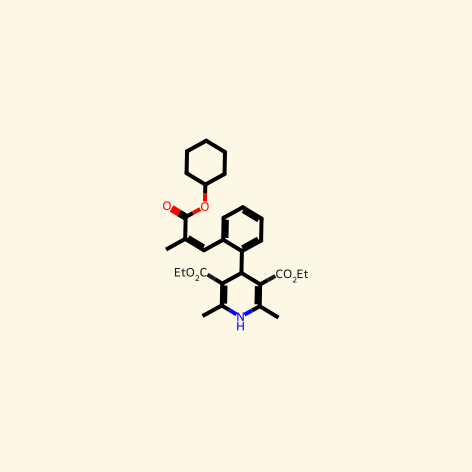 CCOC(=O)C1=C(C)NC(C)=C(C(=O)OCC)C1c1ccccc1C=C(C)C(=O)OC1CCCCC1